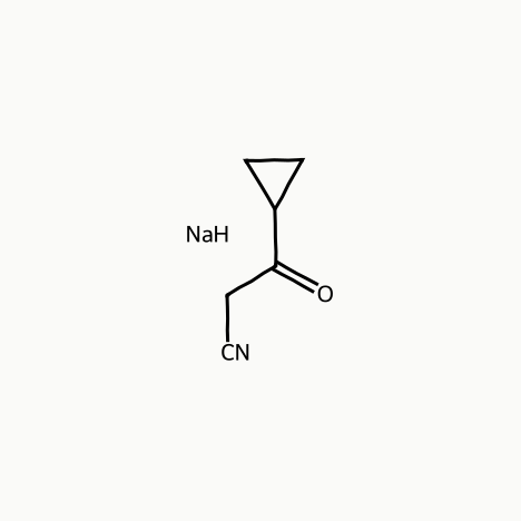 N#CCC(=O)C1CC1.[NaH]